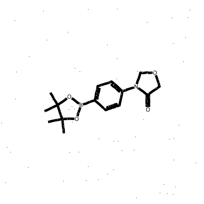 CC1(C)OB(c2ccc(N3COCC3=O)cc2)OC1(C)C